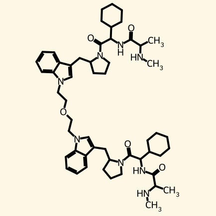 CNC(C)C(=O)NC(C(=O)N1CCCC1Cc1cn(CCOCCn2cc(CC3CCCN3C(=O)C(NC(=O)C(C)NC)C3CCCCC3)c3ccccc32)c2ccccc12)C1CCCCC1